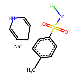 C1=CNC=CC1.Cc1ccc(S(=O)(=O)[N-]Cl)cc1.[Na+]